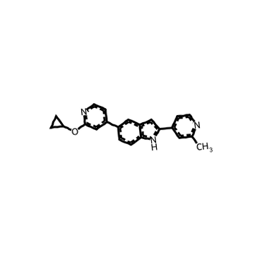 Cc1cc(-c2cc3cc(-c4ccnc(OC5CC5)c4)ccc3[nH]2)ccn1